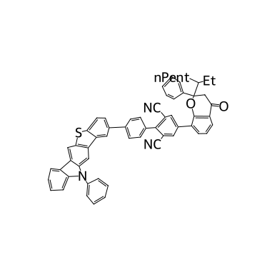 CCCCCC(CC)C1(c2ccccc2)CC(=O)c2cccc(-c3cc(C#N)c(-c4ccc(-c5ccc6sc7cc8c9ccccc9n(-c9ccccc9)c8cc7c6c5)cc4)c(C#N)c3)c2O1